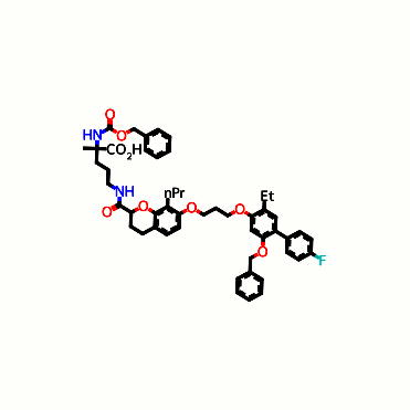 CCCc1c(OCCCOc2cc(OCc3ccccc3)c(-c3ccc(F)cc3)cc2CC)ccc2c1OC(C(=O)NCCCC(C)(NC(=O)OCc1ccccc1)C(=O)O)CC2